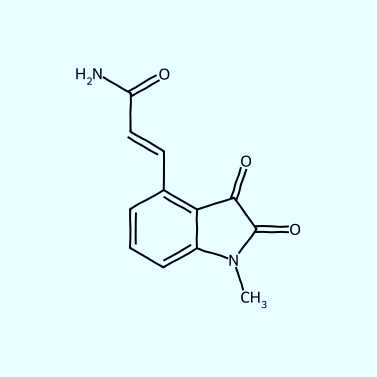 CN1C(=O)C(=O)c2c(C=CC(N)=O)cccc21